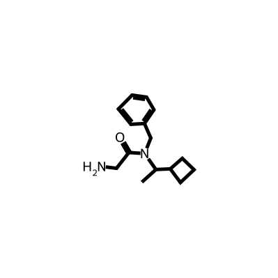 CC(C1CCC1)N(Cc1ccccc1)C(=O)CN